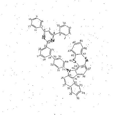 c1ccc(-c2cc(-c3ccccc3)nc(-c3cccc(-c4ccc(-n5c6ccc7ccccc7c6c6ccc7c(c65)Sc5ccccc5S7)cc4)c3)n2)cc1